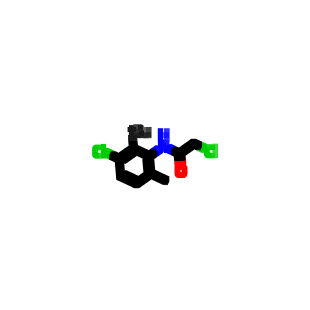 Cc1ccc(Cl)c(C(C)(C)C)c1NC(=O)CCl